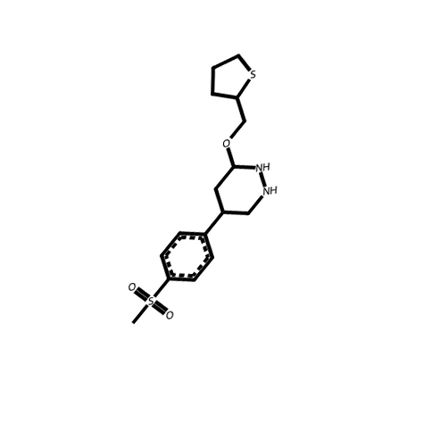 CS(=O)(=O)c1ccc(C2CNNC(OCC3CCCS3)C2)cc1